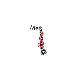 COCCOCCOCCOC(=O)/C=C/c1ccccc1